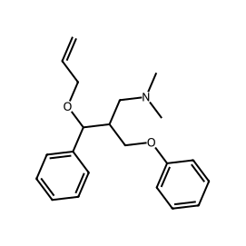 C=CCOC(c1ccccc1)C(COc1ccccc1)CN(C)C